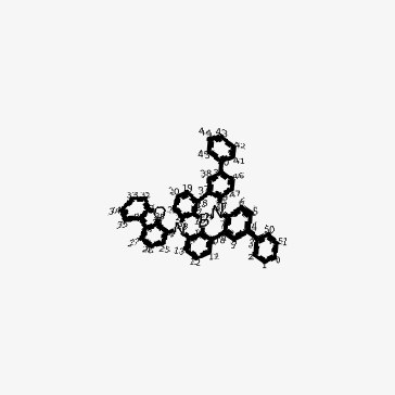 c1ccc(-c2ccc3c(c2)-c2cccc4c2B2c5c(cccc5N4c4cccc5c4oc4ccccc45)-c4cc(-c5ccccc5)ccc4N23)cc1